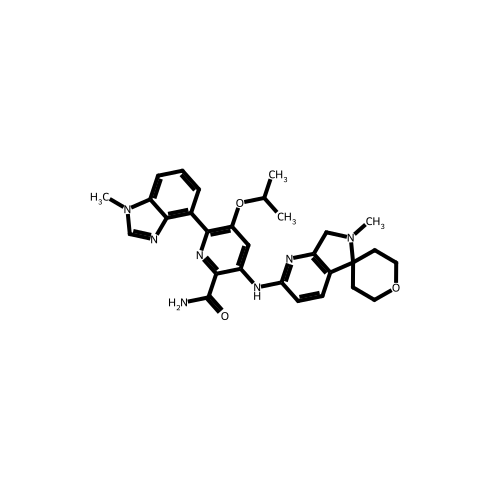 CC(C)Oc1cc(Nc2ccc3c(n2)CN(C)C32CCOCC2)c(C(N)=O)nc1-c1cccc2c1ncn2C